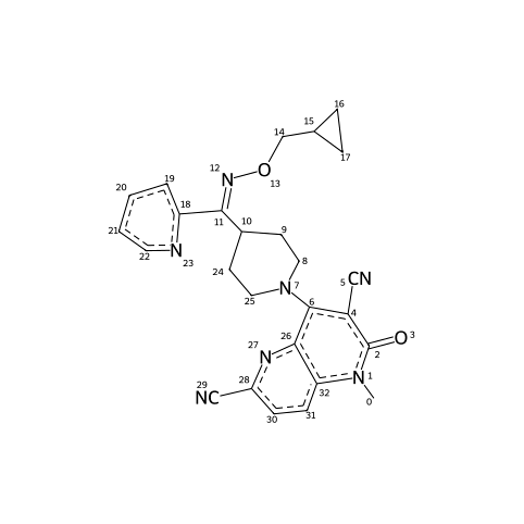 Cn1c(=O)c(C#N)c(N2CCC(/C(=N\OCC3CC3)c3ccccn3)CC2)c2nc(C#N)ccc21